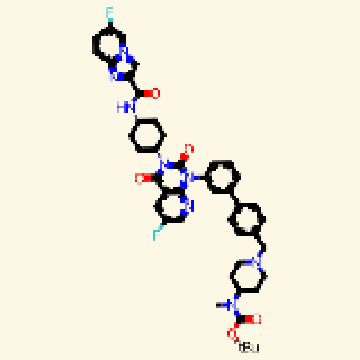 CN(C(=O)OC(C)(C)C)C1CCN(Cc2ccc(-c3cccc(-n4c(=O)n([C@H]5CC[C@@H](NC(=O)c6cn7cc(F)ccc7n6)CC5)c(=O)c5cc(F)cnc54)c3)cc2)CC1